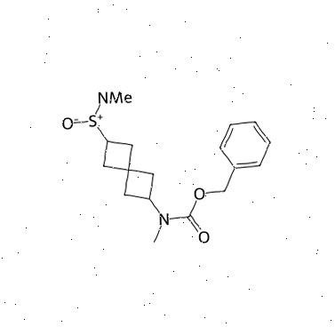 CN[S+]([O-])C1CC2(CC(N(C)C(=O)OCc3ccccc3)C2)C1